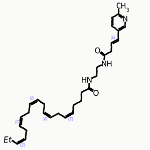 CC/C=C\C/C=C\C/C=C\C/C=C\C/C=C\CCCC(=O)NCCNC(=O)C/C=C/c1ccc(C)nc1